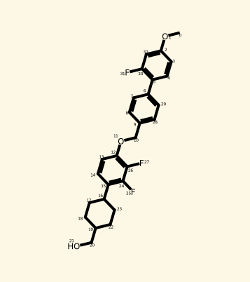 COc1ccc(-c2ccc(COc3ccc(C4CCC(CO)CC4)c(F)c3F)cc2)c(F)c1